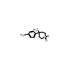 CC1(c2ccc(N)cc2)CCS(=O)(=O)CC1